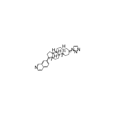 C[C@]12CC[C@H](n3ccnn3)C[C@@H]1CC[C@@H]1[C@@H]2CC[C@]2(C)[C@@H](c3ccc4ccncc4c3)CC[C@@H]12